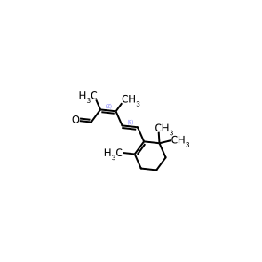 CC1=C(/C=C/C(C)=C(/C)C=O)C(C)(C)CCC1